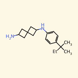 CCC(C)(C)c1ccc(NC2CC3(CC(N)C3)C2)cc1